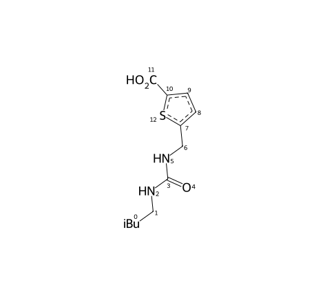 CCC(C)CNC(=O)NCc1ccc(C(=O)O)s1